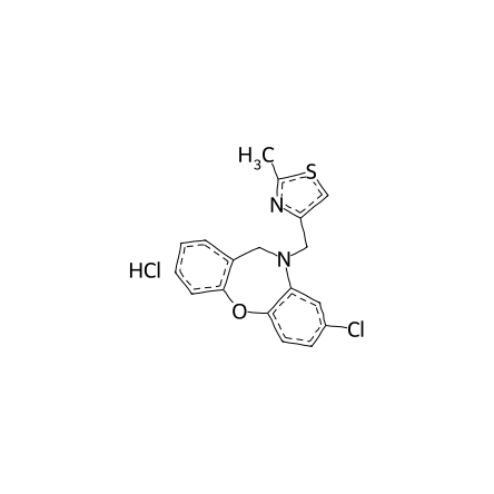 Cc1nc(CN2Cc3ccccc3Oc3ccc(Cl)cc32)cs1.Cl